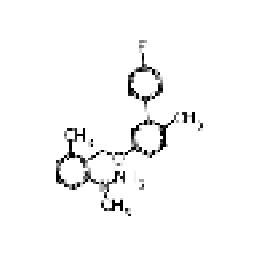 Cc1ccc(OCc2c(C)cccc2N(C)N)cc1-c1ccc(F)cc1